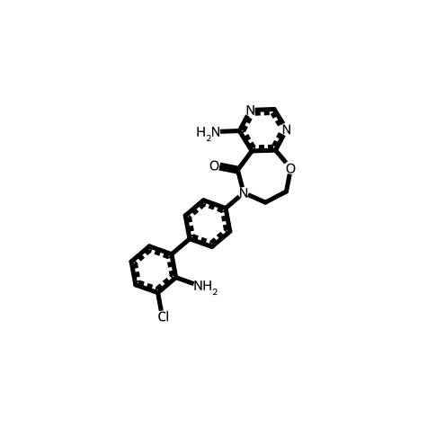 Nc1ncnc2c1C(=O)N(c1ccc(-c3cccc(Cl)c3N)cc1)CCO2